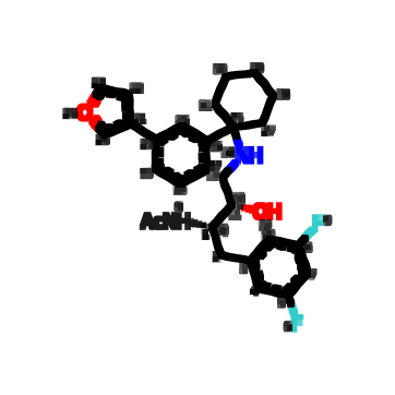 CC(=O)N[C@@H](Cc1cc(F)cc(F)c1)[C@@H](O)CNC1(c2cccc(-c3ccoc3)c2)CCCCC1